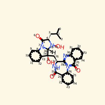 CC(C)C[C@H]1C(=O)N2c3ccccc3[C@@](O)(C[C@@H]3NC(=O)c4ccccc4-n4c3nc3ccccc3c4=O)[C@H]2N1O